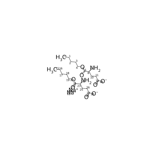 CCCCCOC(=O)[C@@H](N)CCC(=O)[O-].CCCCCOC(=O)[C@@H](N)CCC(=O)[O-].[Na+].[Na+]